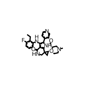 CCc1c(F)cccc1Nc1c(-c2ccncc2OC[C@@H]2CN(C)CCO2)[nH]c2c1C(=O)NCC21CC1